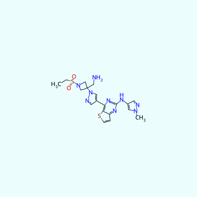 CCS(=O)(=O)N1CC(CN)(n2cc(-c3nc(Nc4cnn(C)c4)nc4ccsc34)cn2)C1